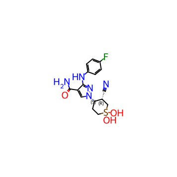 N#C[C@@H]1CS(O)(O)CC[C@@H]1n1cc(C(N)=O)c(Nc2ccc(F)cc2)n1